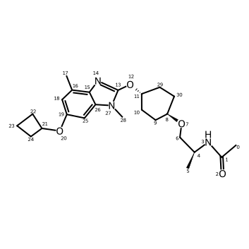 CC(=O)N[C@@H](C)CO[C@H]1CC[C@H](Oc2nc3c(C)cc(OC4CCC4)cc3n2C)CC1